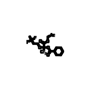 CC(=O)COC(=O)C(OCCC(C)(F)F)(OC(=O)C1CCCCC1)C(F)(F)F